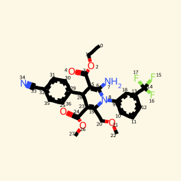 CCOC(=O)C1=C(N)N(c2cccc(C(F)(F)F)c2)C(COC)=C(C(=O)OC)C1c1ccc(C#N)cc1